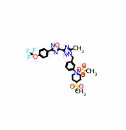 Cc1nc(-c2nc(-c3ccc(OC(F)(F)F)cc3)no2)nn1Cc1cccc([N+]2(OS(C)(=O)=O)CCC(S(C)(=O)=O)CC2)c1